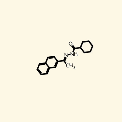 C/C(=N\NC(=O)C1CCCCC1)c1ccc2ccccc2c1